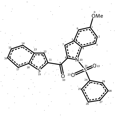 COc1ccc2c(c1)cc(C(=O)c1cc3ccccc3s1)n2S(=O)(=O)c1ccccc1